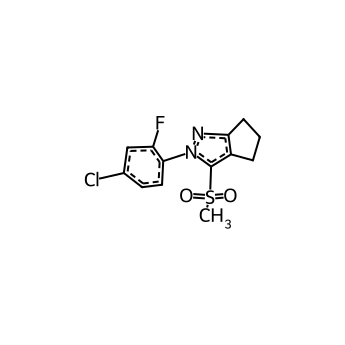 CS(=O)(=O)c1c2c(nn1-c1ccc(Cl)cc1F)CCC2